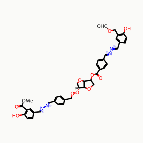 COC(=O)c1cc(/C=N/N=C/c2ccc(COO[C@@H]3COC4C(OC(=O)c5ccc(/C=N/N=C/c6ccc(O)c(COC=O)c6)cc5)COC43)cc2)ccc1O